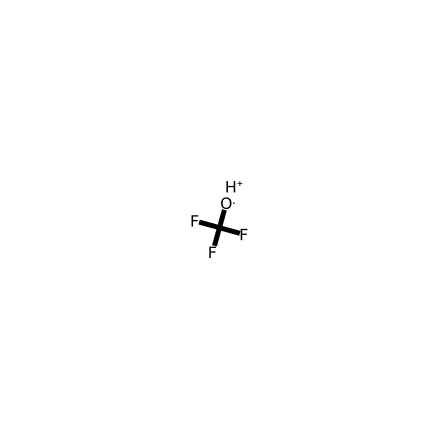 [H+].[O]C(F)(F)F